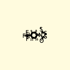 O=c1ssc(=S)n1-c1ccc(C(F)(F)F)cc1